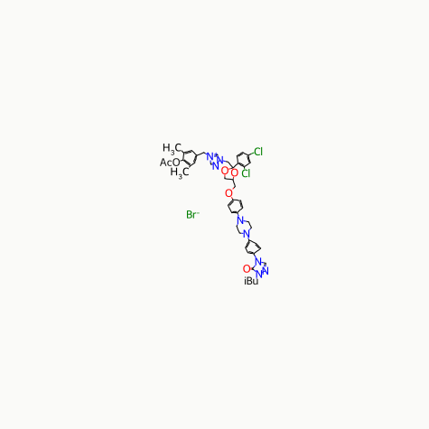 CCC(C)n1ncn(-c2ccc(N3CCN(c4ccc(OCC5COC(Cn6c[n+](Cc7cc(C)c(OC(C)=O)c(C)c7)cn6)(c6ccc(Cl)cc6Cl)O5)cc4)CC3)cc2)c1=O.[Br-]